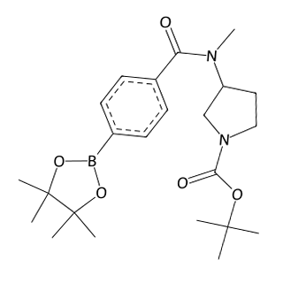 CN(C(=O)c1ccc(B2OC(C)(C)C(C)(C)O2)cc1)C1CCN(C(=O)OC(C)(C)C)C1